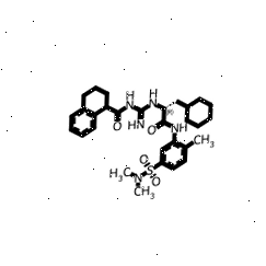 Cc1ccc(S(=O)(=O)N(C)C)cc1NC(=O)[C@@H](CC1CCCCC1)NC(=N)NC(=O)C1CCCc2ccccc21